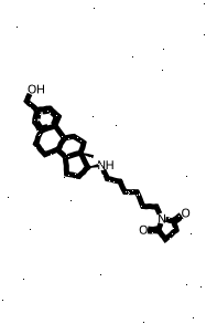 C[C@]12CCC3c4ccc(CO)cc4CCC3C1CC[C@@H]2NCCCCCCN1C(=O)CCC1=O